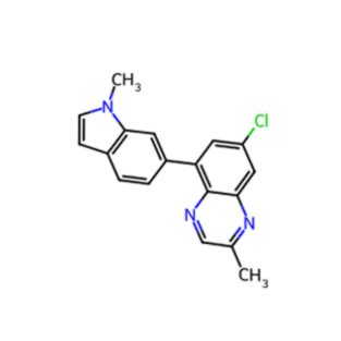 Cc1cnc2c(-c3ccc4ccn(C)c4c3)cc(Cl)cc2n1